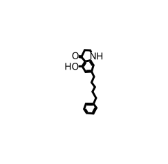 O=C1CCNc2cc(CCCCCc3ccccc3)cc(O)c21